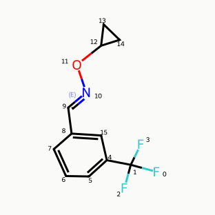 FC(F)(F)c1cccc(/[C]=N/OC2CC2)c1